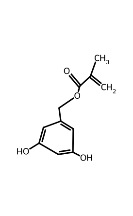 C=C(C)C(=O)OCc1cc(O)cc(O)c1